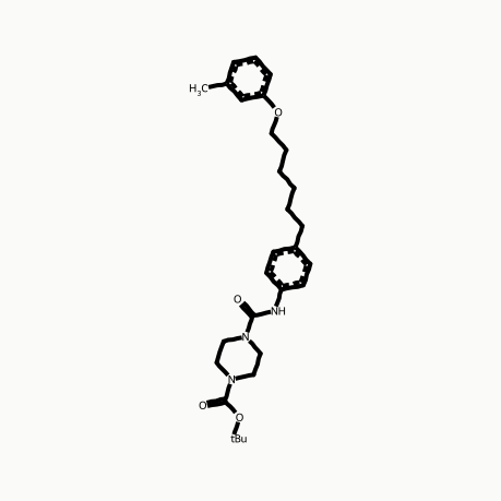 Cc1cccc(OCCCCCCc2ccc(NC(=O)N3CCN(C(=O)OC(C)(C)C)CC3)cc2)c1